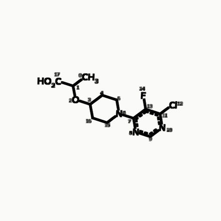 CC(OC1CCN(c2ncnc(Cl)c2F)CC1)C(=O)O